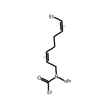 CC/C=C\CC/C=C\CN(CCC)C(=O)CC